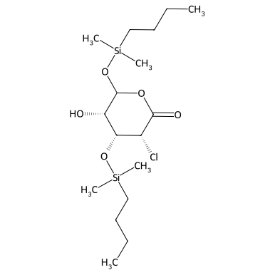 CCCC[Si](C)(C)OC1OC(=O)[C@H](Cl)[C@H](O[Si](C)(C)CCCC)[C@@H]1O